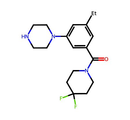 CCc1cc(C(=O)N2CCC(F)(F)CC2)cc(N2CCNCC2)c1